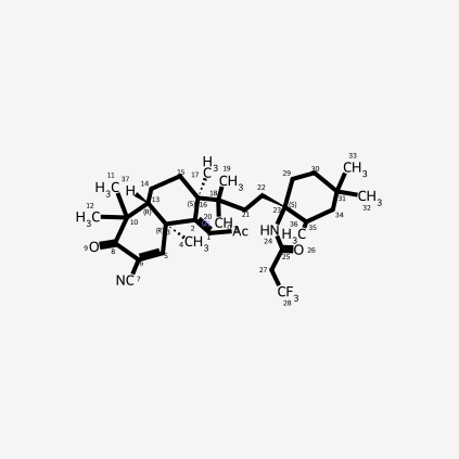 CC(=O)/C=C1/[C@@]2(C)C=C(C#N)C(=O)C(C)(C)[C@@H]2CC[C@@]1(C)C(C)(C)CC[C@@]1(NC(=O)CC(F)(F)F)CCC(C)(C)CC1C